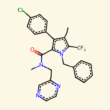 Cc1c(-c2ccc(Cl)cc2)c(C(=O)N(C)Cc2cnccn2)n(Cc2ccccc2)c1C(F)(F)F